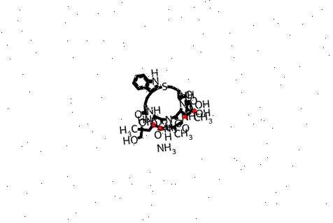 CC1NC(=O)C(CC(C)(O)CO)NC(=O)C2Cc3c([nH]c4ccccc34)SCC(NC(=O)C(C(C)O)NC1=O)C(=O)N1CC(O)CC1C(=O)NC(C)C(=O)N2.N